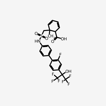 CC1(CS(=O)(=O)Nc2ccc(-c3ccc(C(O)(C(F)(F)F)C(F)(F)F)cc3F)cc2)C=CC=CC1C(=O)O